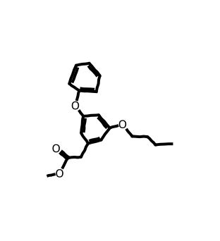 CCCCOc1cc(CC(=O)OC)cc(Oc2ccccc2)c1